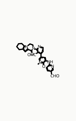 Cn1cc(-c2ccnc(N3CCn4c(cc5c4CCCC5)C3=O)c2C=O)cc(Nc2ccc(C=O)cn2)c1=O